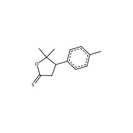 Cc1ccc(C2CC(=S)OC2(C)C)cc1